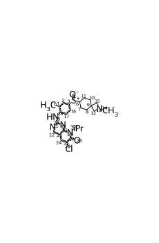 Cc1cc([S+]([O-])C2CCC3(CC2)CN(C)C3)ccc1Nc1ncc2cc(Cl)c(=O)n(C(C)C)c2n1